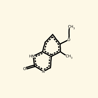 COc1ccc2[nH]c(=O)ncc2c1C